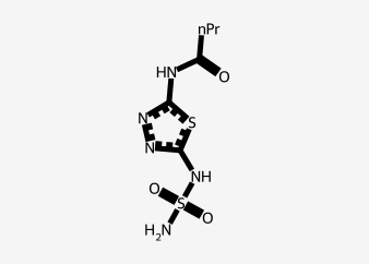 CCCC(=O)Nc1nnc(NS(N)(=O)=O)s1